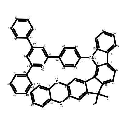 CC1(C)c2cc3c(cc2-c2c1ccc1c4ccccc4n(-c4ccc(-c5cc(-c6ccccc6)cc(-c6ccccc6)n5)cc4)c21)Sc1ccccc1S3